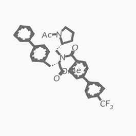 COC(=O)[C@H](Cc1ccc(-c2ccccc2)cc1)N(C[C@H]1CCCN1C(C)=O)C(=O)c1ccc(-c2ccc(C(F)(F)F)cc2)cc1